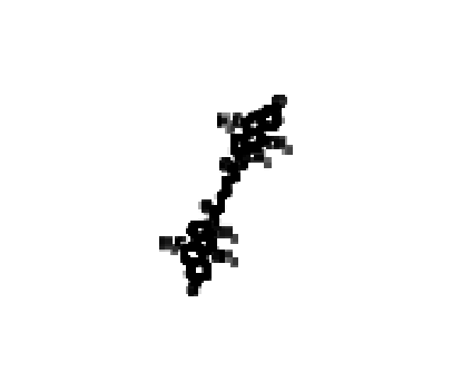 CC1CC2(C)C(OC(=O)CCCCCC(=O)OC3CCC4C5C(C)CC6=CC(=O)CCC6C5C(C)CC34C)CCC2C2C(C)CC3=CC(=O)CCC3C12